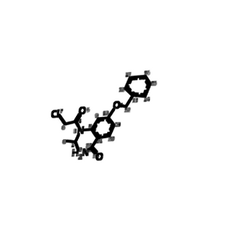 CC(C)N(C(=O)CCl)c1cc(OCc2ccccc2)ccc1C(N)=O